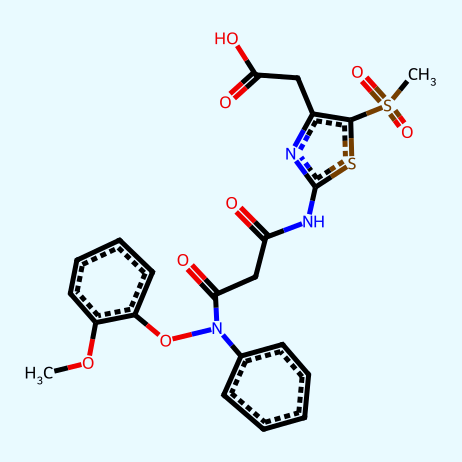 COc1ccccc1ON(C(=O)CC(=O)Nc1nc(CC(=O)O)c(S(C)(=O)=O)s1)c1ccccc1